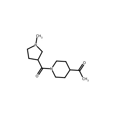 CC(=O)C1CCN(C(=O)C2CCN(C)C2)CC1